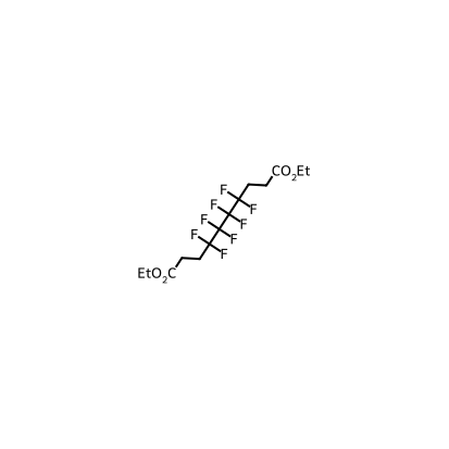 CCOC(=O)CCC(F)(F)C(F)(F)C(F)(F)C(F)(F)CCC(=O)OCC